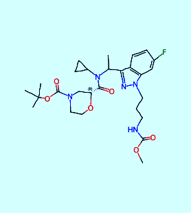 COC(=O)NCCCn1nc(C(C)N(C(=O)[C@H]2CN(C(=O)OC(C)(C)C)CCO2)C2CC2)c2ccc(F)cc21